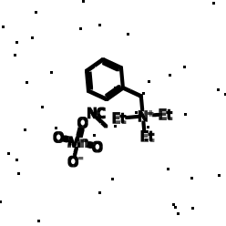 CC#N.CC[N+](CC)(CC)Cc1ccccc1.[O]=[Mn](=[O])(=[O])[O-]